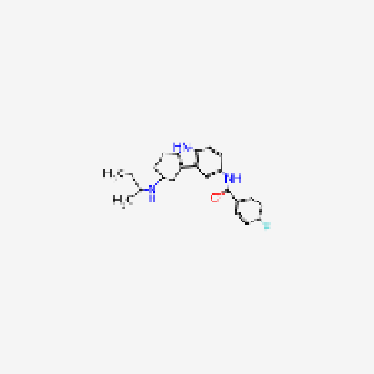 CCC(C)NC1CCc2[nH]c3ccc(NC(=O)c4ccc(F)cc4)cc3c2C1